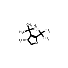 C[C@@H]1COC(C(C)(C)C)=C1C(C)(C)C